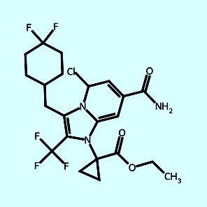 CCOC(=O)C1(N2C3=CC(C(N)=O)=CC(Cl)N3C(CC3CCC(F)(F)CC3)=C2C(F)(F)F)CC1